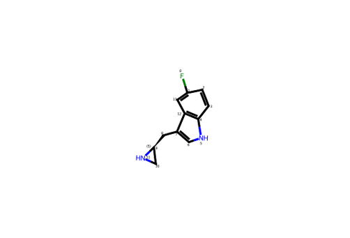 Fc1ccc2[nH]cc(C[C@H]3CN3)c2c1